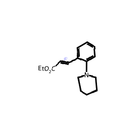 CCOC(=O)/C=C/c1ccccc1N1CCCCC1